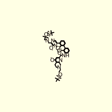 COc1cc(C(=O)Nc2cccc(-c3cccc(-c4cnc(CN5CC(C)(O[Si](C)(C)C(C)(C)C)C5)c(OC)n4)c3Cl)c2Cl)nc2c1CCN(CCO[Si](C)(C)C(C)(C)C)C2